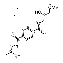 COCC(O)COC(=O)c1ccc(C(=O)OCC(C)O)cc1